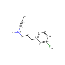 CC#CN(C)CCCc1cccc(F)c1